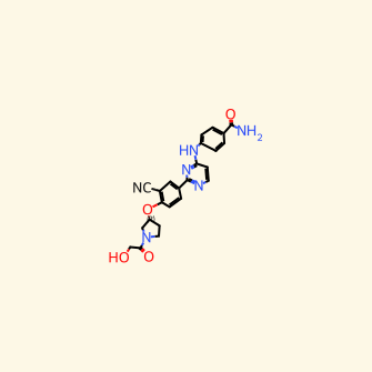 N#Cc1cc(-c2nccc(Nc3ccc(C(N)=O)cc3)n2)ccc1O[C@@H]1CCN(C(=O)CO)C1